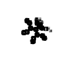 Cc1ccc2c(c1)Oc1cc(C)ccc1N2c1cc(-c2cc(-c3ccc4ccccc4c3)cc(-c3ccc4ccccc4c3)c2)cc(-c2cc(-c3ccc4ccccc4c3)cc(-c3ccc4ccccc4c3)c2)c1